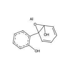 Oc1ccccc1C12C=CC=CC1(O)O2.[Al]